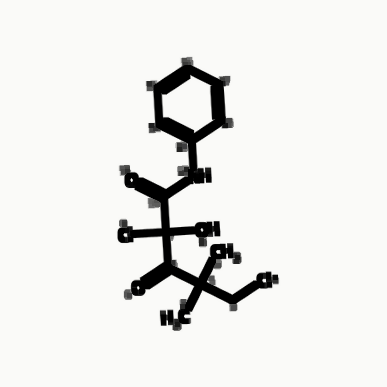 CC(C)(CCl)C(=O)C(O)(Cl)C(=O)Nc1ccccc1